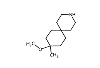 COC1(C)CCC2(CCNCC2)CC1